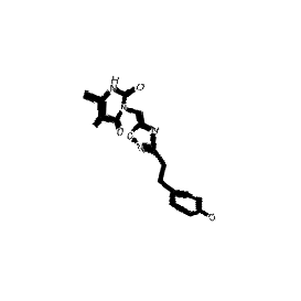 Cc1[nH]c(=O)n(Cc2nc(CCc3ccc(Cl)cc3)no2)c(=O)c1C